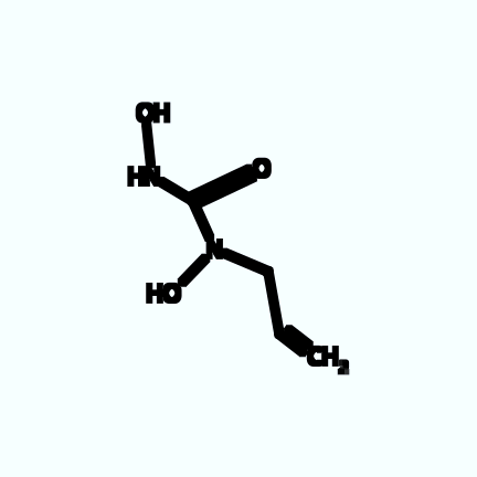 C=CCN(O)C(=O)NO